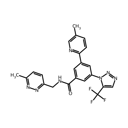 Cc1ccc(-c2cc(C(=O)NCc3ccc(C)nn3)cc(-n3nncc3C(F)(F)F)c2)nc1